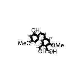 COc1ccc(/C=C\c2cc(CO)c(CO)c(OC)c2)c(O)c1